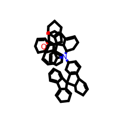 C1=CC(C2(C3=CCCC=C3)C3=C(CCCC3)C3=CCCC(N(C4C=CC5=C(C4)C4(C6=CCCC=C6c6ccccc64)C4CCC=CC54)C4CC=CC5OC6=C(CCCC6)C54)C32)=CCC1